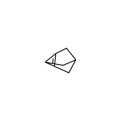 C1C2=C3CC1CC23